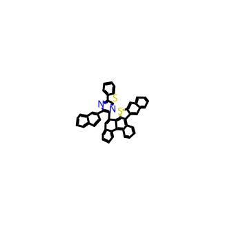 c1ccc2cc(-c3nc4c(nc3-c3cc5ccccc5c5c6ccccc6c6c7cc8ccccc8cc7sc6c35)sc3ccccc34)ccc2c1